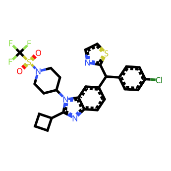 O=S(=O)(N1CCC(n2c(C3CCC3)nc3ccc(C(c4ccc(Cl)cc4)c4nccs4)cc32)CC1)C(F)(F)F